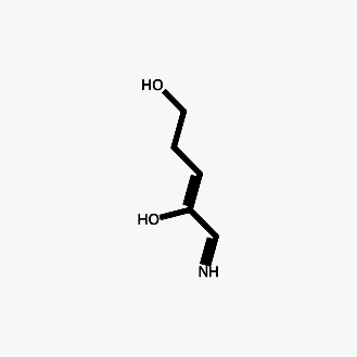 N=CC(O)=CCCO